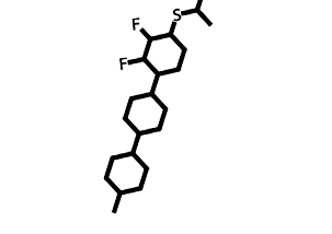 CCCCCC(C)SC1CCC(C2CCC(C3CCC(C)CC3)CC2)C(F)C1F